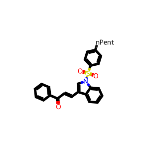 CCCCCc1ccc(S(=O)(=O)n2cc(/C=C/C(=O)c3ccccc3)c3ccccc32)cc1